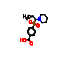 C=CC(N1CCCCC1)S(=O)(=O)c1ccc(C(=O)O)cc1